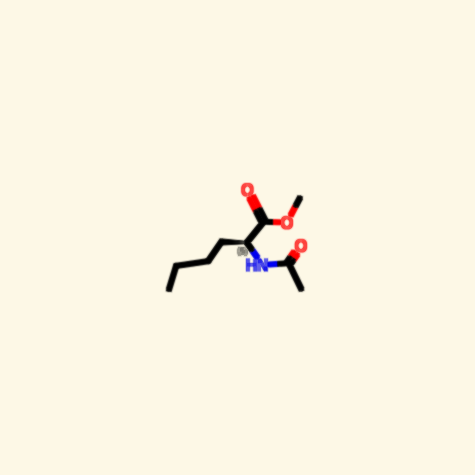 CCCC[C@H](NC(C)=O)C(=O)OC